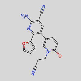 N#CCCn1cc(-c2cc(C#N)c(N)nc2-c2ccco2)ccc1=O